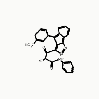 N#CC(C(=O)Nc1ccccc1)C(=O)C1=C2C(=c3ccccc3=C2C2C=CCC(C(=O)O)=C2)N=N1